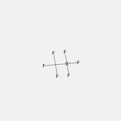 F[B-](F)(F)C(F)(F)F